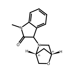 CN1C(=O)C(N2C[C@H]3C[C@@H]2CO3)c2ccccc21